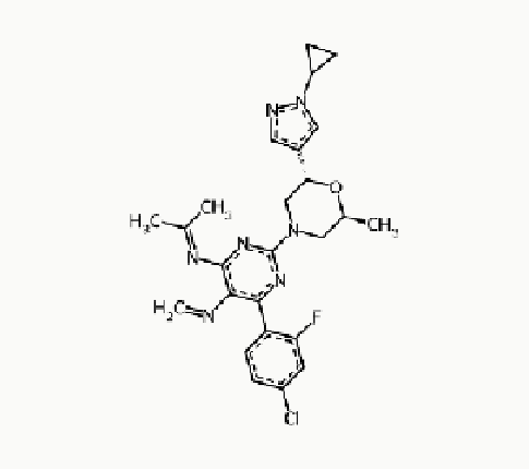 C=Nc1c(N=C(C)C)nc(N2C[C@H](C)O[C@@H](c3cnn(C4CC4)c3)C2)nc1-c1ccc(Cl)cc1F